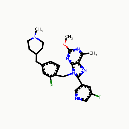 COc1nc(C)c2nc(-c3cncc(F)c3)n(Cc3ccc(CC4CCN(C)CC4)cc3F)c2n1